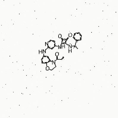 C=CC(=O)N1CCOc2ccc(Nc3cc(Nc4c(N[C@H](C)c5ccccc5)c(=O)c4=O)ccn3)cc21